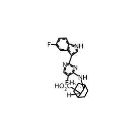 O=C(O)[C@H]1C2CCC(CC2)[C@@H]1Nc1nc(-c2c[nH]c3ccc(F)cc23)ncc1F